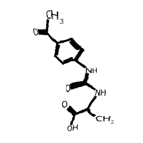 CC(=O)c1ccc(NC(=O)NC(C)C(=O)O)cc1